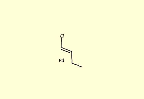 CCC=CCl.[Pd]